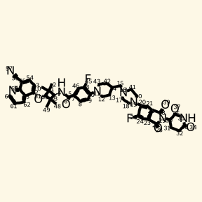 CC1(C)[C@H](NC(=O)c2ccc(N3CCC(CN4CCN(c5cc6c(cc5F)C(=O)N(C5CCC(=O)NC5=O)C6=O)CC4)CC3)c(F)c2)C(C)(C)[C@H]1Oc1ccc(C#N)c2ncccc12